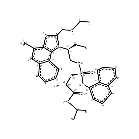 CCOCc1nc2c(N)nc3ccccc3c2n1[C@@H](CC)CO[P@@](=O)(N[C@@H](C)C(=O)OC(C)C)Oc1cccc2ccccc12